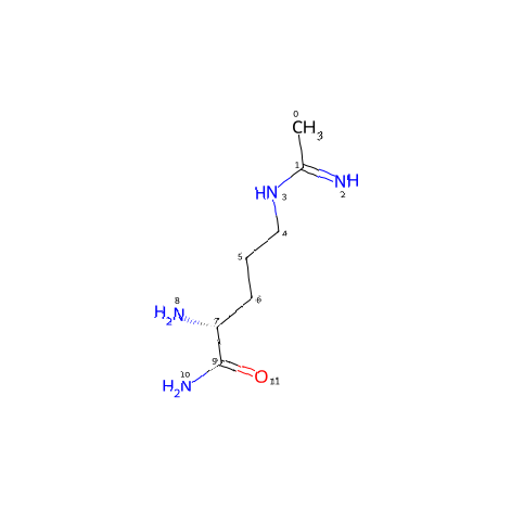 CC(=N)NCCC[C@@H](N)C(N)=O